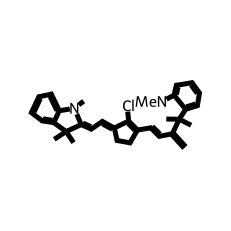 C=C(/C=C/C1=C(Cl)C(=C/C=C2\N(C)c3ccccc3C2(C)C)/CC1)C(C)(C)c1ccccc1NC